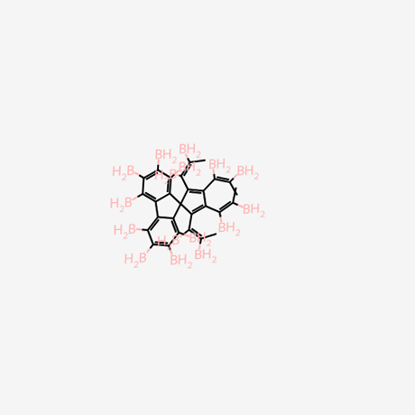 B/C(C)=C(\B)C1=C(/C(B)=C(/B)C)C2(C(C(/B)=C(/B)C)=C1/C(B)=C(/B)C)c1c(B)c(B)c(B)c(B)c1-c1c(B)c(B)c(B)c(B)c12